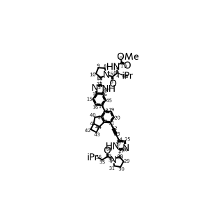 COC(=O)N[C@H](C(=O)N1CCC[C@H]1c1nc2ccc(-c3ccc(C#Cc4cnc([C@@H]5CCCN5C(=O)CC(C)C)[nH]4)c4c3CC3CCC43)cc2[nH]1)C(C)C